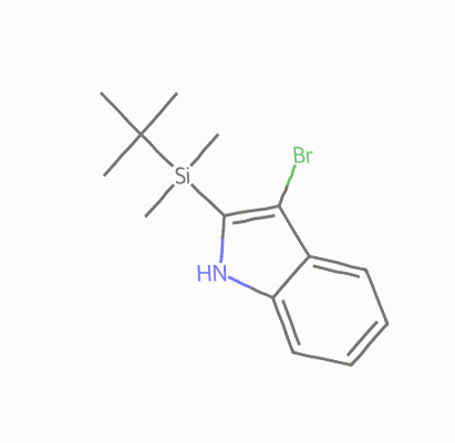 CC(C)(C)[Si](C)(C)c1[nH]c2ccccc2c1Br